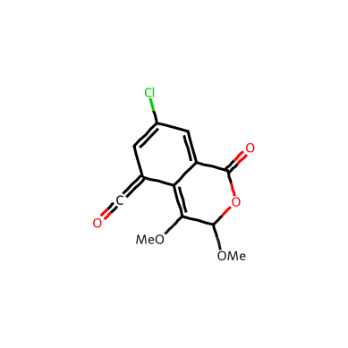 COC1=c2c(cc(Cl)cc2=C=O)C(=O)OC1OC